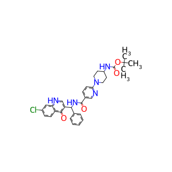 CC(C)(C)OC(=O)NC1CCN(c2ccc(C(=O)NC(c3ccccc3)c3c[nH]c4cc(Cl)ccc4c3=O)cn2)CC1